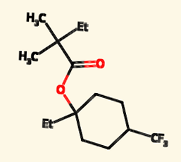 CCC1(OC(=O)C(C)(C)CC)CCC(C(F)(F)F)CC1